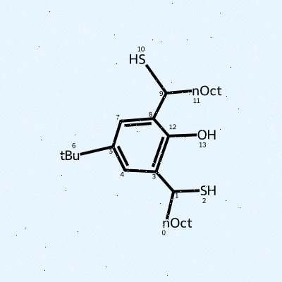 CCCCCCCCC(S)c1cc(C(C)(C)C)cc(C(S)CCCCCCCC)c1O